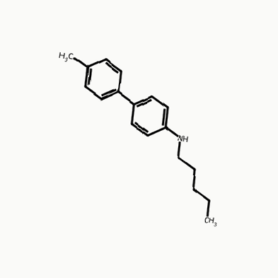 CCCCCNc1ccc(-c2ccc(C)cc2)cc1